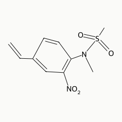 C=Cc1ccc(N(C)S(C)(=O)=O)c([N+](=O)[O-])c1